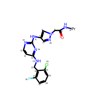 CC(C)NC(=O)Cn1cc(Nc2nccc(NCc3c(F)cccc3Cl)n2)cn1